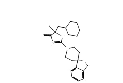 CC1(CC2CCCCC2)OC(N2CCC3(CC2)OCc2ccccc23)=NC1=O